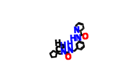 CC1(CNC(=O)NCc2cccc(NC(=O)C3CC=CC=N3)c2)CCCC1